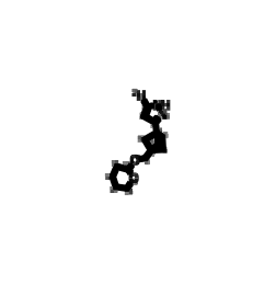 [2H]c1cc(C23CCC(COC4CCCCO4)(C2)C3)n[nH]1